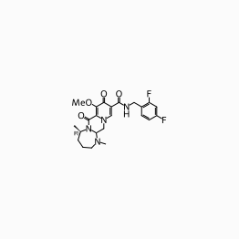 COc1c2n(cc(C(=O)NCc3ccc(F)cc3F)c1=O)CC1N(C)CCC[C@@H](C)N1C2=O